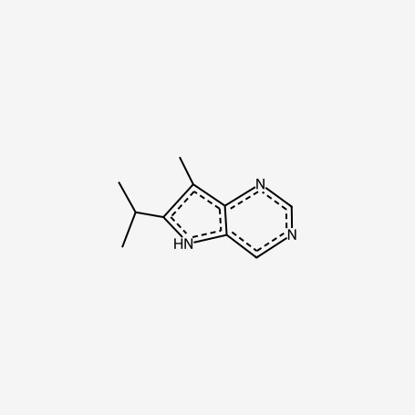 Cc1c(C(C)C)[nH]c2cncnc12